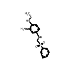 CSNc1ccc(NCS(=O)(=O)c2ccccc2)cc1N